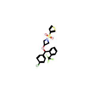 O=S(=O)(c1ccsc1)N1CC(OC(c2ccc(Cl)cc2)c2ccccc2C(F)(F)F)C1